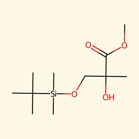 COC(=O)C(C)(O)CO[Si](C)(C)C(C)(C)C